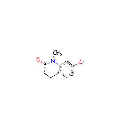 CN1C(=O)CCc2ccc([O])cc21